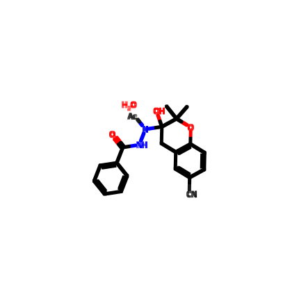 CC(=O)N(NC(=O)c1ccccc1)C1(O)Cc2cc(C#N)ccc2OC1(C)C.O